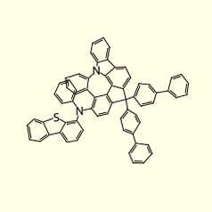 c1ccc(-c2ccc(C3(c4ccc(-c5ccccc5)cc4)c4ccc(N(c5ccccc5)c5cccc6c5sc5ccccc56)c5c4-c4c3ccc3c6ccccc6n(c43)-c3ccccc3-5)cc2)cc1